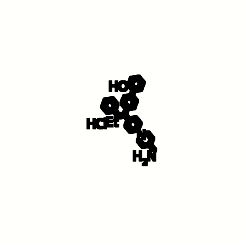 CCC(=C(c1ccc(-c2ccccc2O)cc1)c1ccc(N2CCC(CN)CC2)cc1)c1ccccc1.Cl